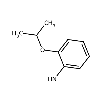 CC(C)Oc1ccccc1[NH]